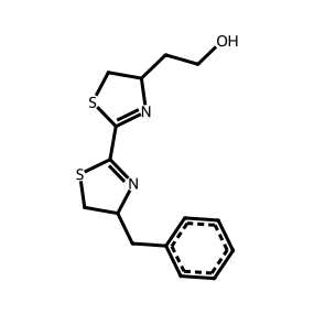 OCCC1CSC(C2=NC(Cc3ccccc3)CS2)=N1